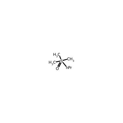 CCCS(C)(C)(C)=O